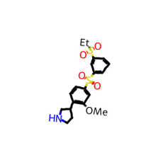 CCS(=O)(=O)c1cccc(S(=O)(=O)c2ccc(C3CCNC3)c(OC)c2)c1